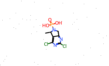 CC1c2c(Cl)nc(Cl)nc2CN1P(=O)(O)O